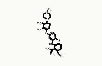 C=C(/N=C(Nc1cccc(CC)c1C(=C)C)\C(Cl)=C/C)Nc1ccc(N2CCN(C)CC2)c(C)c1C